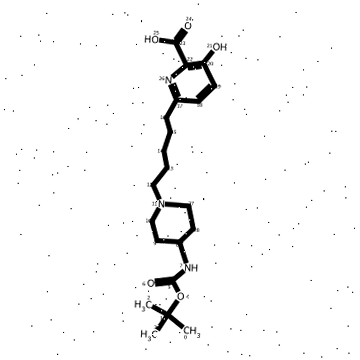 CC(C)(C)OC(=O)NC1CCN(CCCCCc2ccc(O)c(C(=O)O)n2)CC1